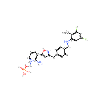 COc1c(F)cc(F)cc1NCc1ccc(Cc2cc(-c3ccc[n+](COP(=O)([O-])O)c3N)on2)cc1